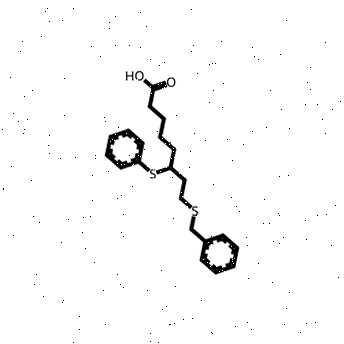 O=C(O)CCCCC(CCSCc1ccccc1)Sc1ccccc1